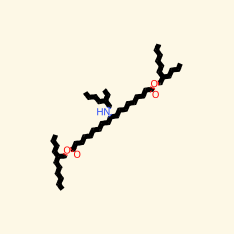 CCCCCCC(CCCC)COC(=O)CCCCCCCCC(CCCCCCCCC(=O)OCC(CCCC)CCCCCC)NCC(CC)CCCC